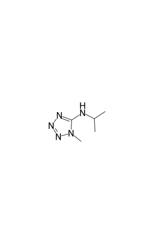 CC(C)Nc1nnnn1C